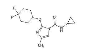 Cc1cn(C(=O)NC2CC2)c(OC2CCC(F)(F)CC2)n1